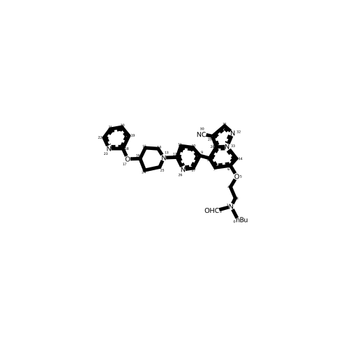 CCCCN(C=O)CCOc1cc(-c2ccc(N3CCC(Oc4ccccn4)CC3)nc2)c2c(C#N)cnn2c1